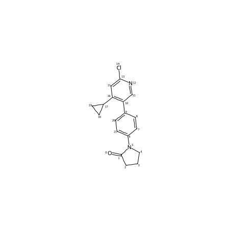 O=C1CCCN1c1ccc(-c2cnc(Cl)cc2C2CC2)cc1